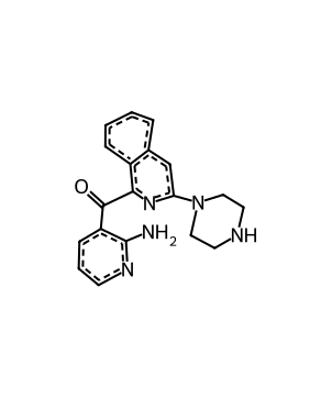 Nc1ncccc1C(=O)c1nc(N2CCNCC2)cc2ccccc12